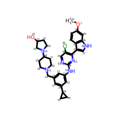 COc1ccc2c(-c3nc(Nc4cc(CN5CCC(N6CCC(O)C6)CC5)cc(C5CC5)c4)ncc3Cl)c[nH]c2c1